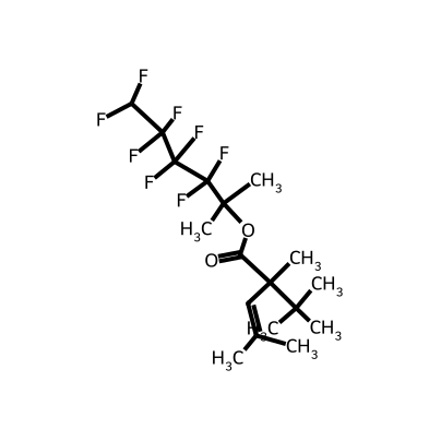 CC(C)=CC(C)(C(=O)OC(C)(C)C(F)(F)C(F)(F)C(F)(F)C(F)F)C(C)(C)C